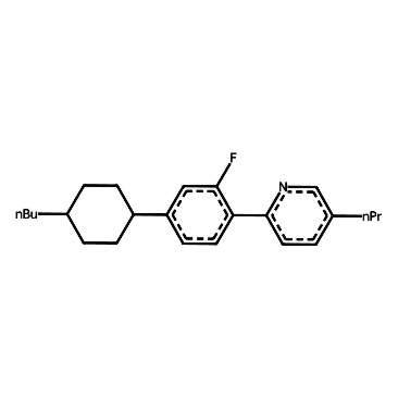 CCCCC1CCC(c2ccc(-c3ccc(CCC)cn3)c(F)c2)CC1